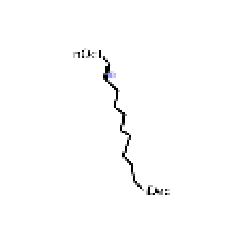 CCCCCCCC/C=C/CCCCCCCCCCCCCCCCCC